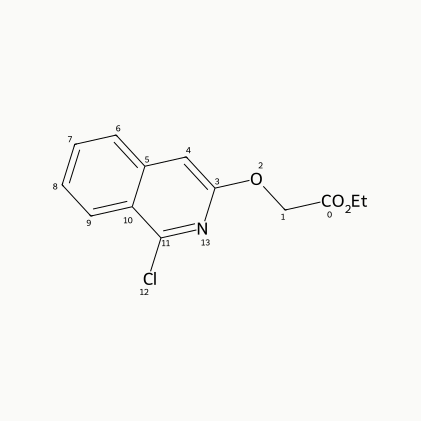 CCOC(=O)COc1cc2ccccc2c(Cl)n1